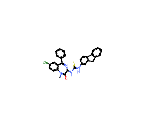 CN1C(=O)C(NC(=S)Nc2ccc3c(c2)Cc2ccccc2-3)N=C(c2ccccc2)c2cc(Cl)ccc21